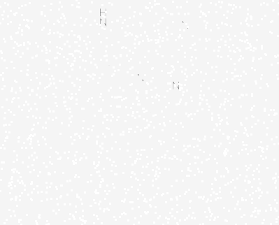 c1ccc(-c2ccc(-c3nc4cnccc4n3C[C@@H]3CCNC3)cc2)cc1